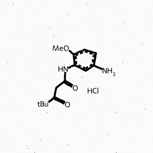 COc1ccc(N)cc1NC(=O)CC(=O)C(C)(C)C.Cl